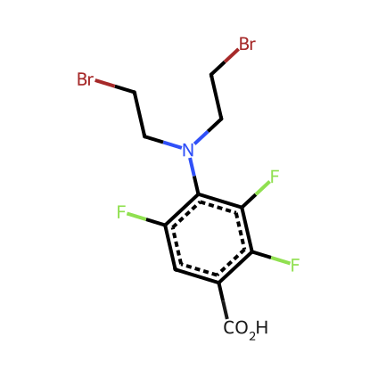 O=C(O)c1cc(F)c(N(CCBr)CCBr)c(F)c1F